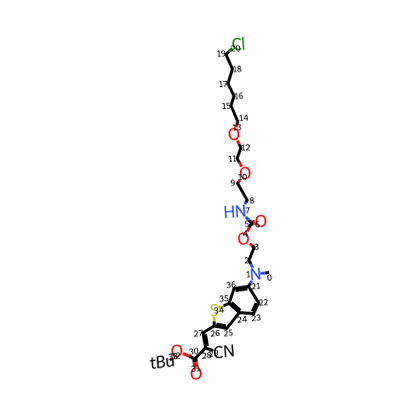 CN(CCOC(=O)NCCOCCOCCCCCCCl)c1ccc2cc(/C=C(\C#N)C(=O)OC(C)(C)C)sc2c1